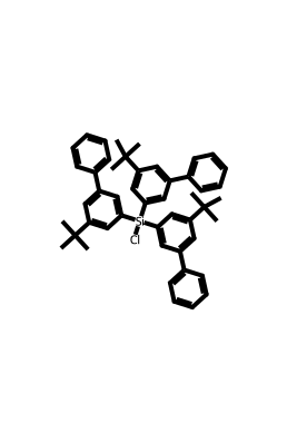 CC(C)(C)c1cc(-c2ccccc2)cc([Si](Cl)(c2cc(-c3ccccc3)cc(C(C)(C)C)c2)c2cc(-c3ccccc3)cc(C(C)(C)C)c2)c1